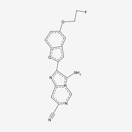 N#Cc1cc2nc(-c3cc4cc(OCCF)ccc4o3)c(N)n2cn1